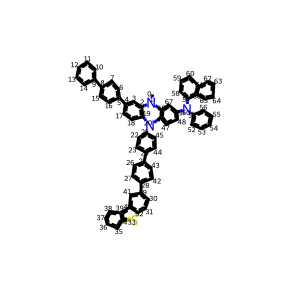 CN1c2cc(-c3ccc(-c4ccccc4)cc3)ccc2N(c2ccc(-c3ccc(-c4ccc5sc6ccccc6c5c4)cc3)cc2)c2ccc(N(c3ccccc3)c3cccc4ccccc34)cc21